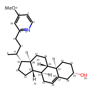 COc1ccnc(CCC(C)[C@H]2CC[C@H]3[C@@H]4CC=C5C[C@@H](O)CC[C@]5(C)[C@H]4CC[C@]23C)c1